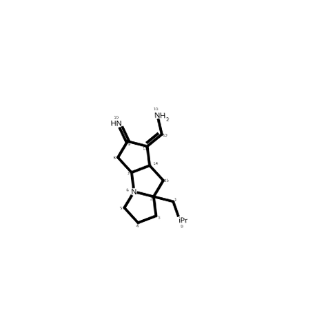 CC(C)CC12CCCN1C1CC(=N)/C(=C\N)C1C2